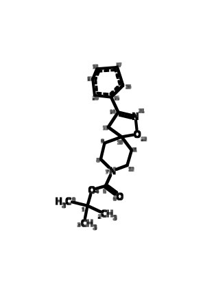 CC(C)(C)OC(=O)N1CCC2(CC1)CC(c1ccccc1)=NO2